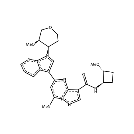 CNc1cc(-c2cn([C@@H]3CCOC[C@@H]3OC)c3ncccc23)nc2c(C(=O)N[C@@H]3CC[C@H]3OC)cnn12